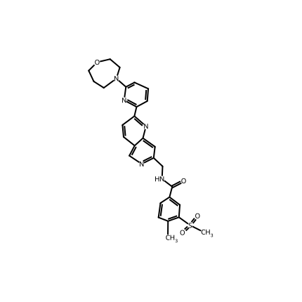 Cc1ccc(C(=O)NCc2cc3nc(-c4cccc(N5CCCOCC5)n4)ccc3cn2)cc1S(C)(=O)=O